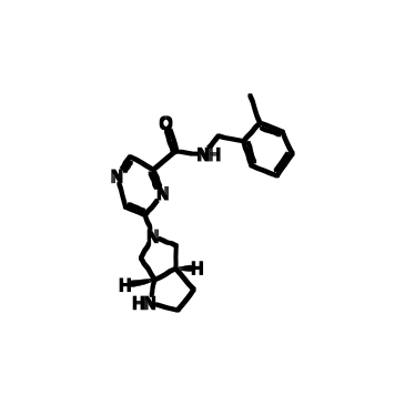 Cc1ccccc1CNC(=O)c1cncc(N2C[C@@H]3CCN[C@@H]3C2)n1